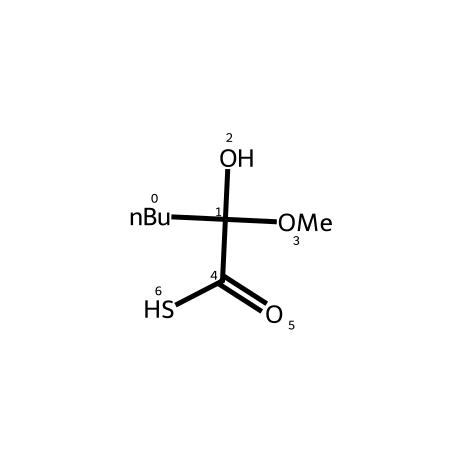 CCCCC(O)(OC)C(=O)S